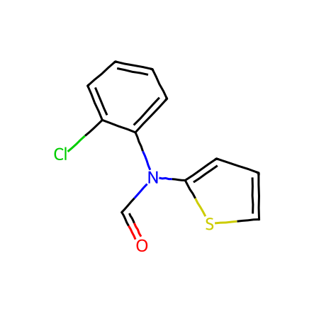 O=CN(c1cccs1)c1ccccc1Cl